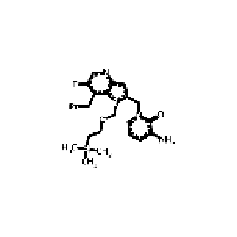 CC(C)Cc1c(F)cnc2cc(Cn3cccc(N)c3=O)n(COCC[Si](C)(C)C)c12